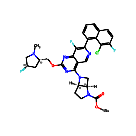 CN1C[C@H](F)C[C@H]1COc1nc(N2C[C@@H]3[C@H]2CCN3C(=O)OC(C)(C)C)c2cnc(-c3cccc4ccc(F)c(Cl)c34)c(F)c2n1